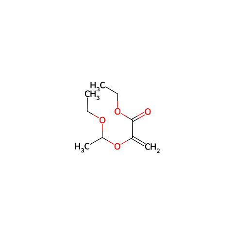 C=C(OC(C)OCC)C(=O)OCC